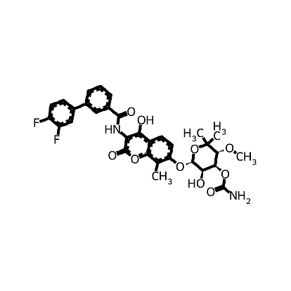 CO[C@@H]1[C@@H](OC(N)=O)[C@@H](O)[C@H](Oc2ccc3c(O)c(NC(=O)c4cccc(-c5ccc(F)c(F)c5)c4)c(=O)oc3c2C)OC1(C)C